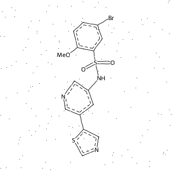 COc1ccc(Br)cc1S(=O)(=O)Nc1cncc(-c2cncs2)c1